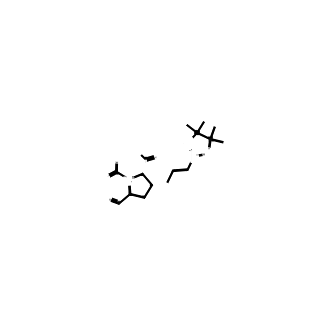 CC1(C)OB(CCC[C@@H]2CC(C=O)N(C(=O)O)[C@@H]2C(=O)O)OC1(C)C